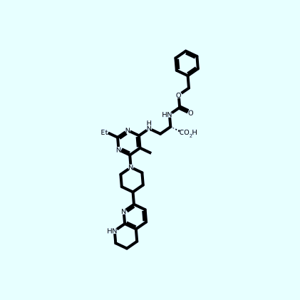 CCc1nc(NC[C@H](NC(=O)OCc2ccccc2)C(=O)O)c(C)c(N2CCC(c3ccc4c(n3)NCCC4)CC2)n1